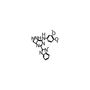 COc1ccc(Nc2nc(-c3nc4ccccc4n3C)nc3cn[nH]c23)cc1OC